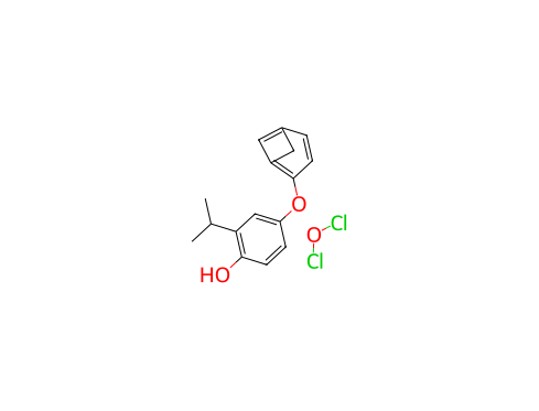 CC(C)c1cc(Oc2ccc3cc2C3)ccc1O.ClOCl